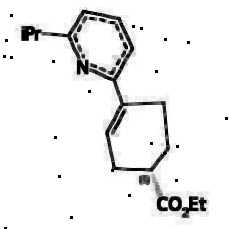 CCOC(=O)[C@@H]1CC=C(c2cccc(C(C)C)n2)CC1